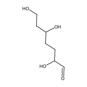 O=CC(O)CCC(O)CCO